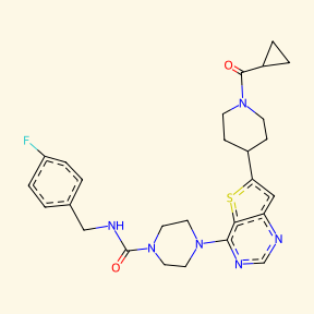 O=C(NCc1ccc(F)cc1)N1CCN(c2ncnc3cc(C4CCN(C(=O)C5CC5)CC4)sc23)CC1